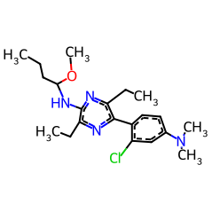 CCCC(Nc1nc(CC)c(-c2ccc(N(C)C)cc2Cl)nc1CC)OC